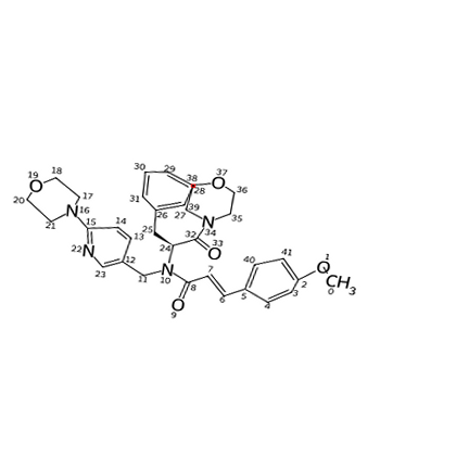 COc1ccc(C=CC(=O)N(Cc2ccc(N3CCOCC3)nc2)[C@@H](Cc2ccccc2)C(=O)N2CCOCC2)cc1